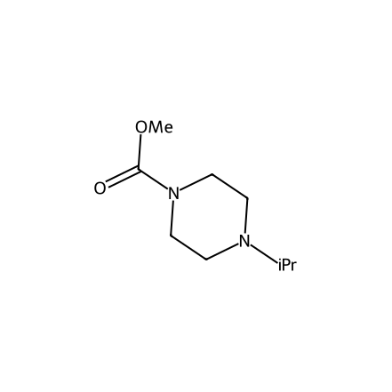 COC(=O)N1CCN(C(C)C)CC1